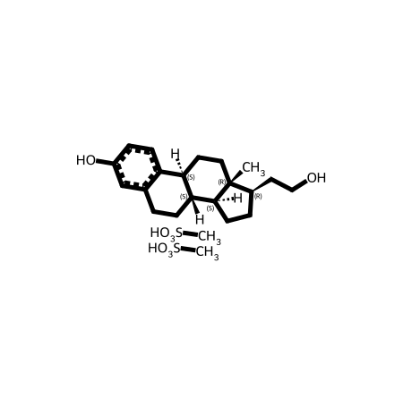 CS(=O)(=O)O.CS(=O)(=O)O.C[C@]12CC[C@@H]3c4ccc(O)cc4CC[C@H]3[C@@H]1CC[C@@H]2CCO